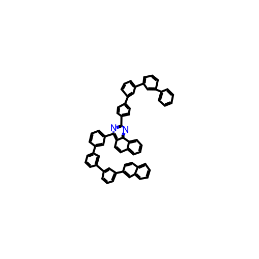 c1ccc(-c2cccc(-c3cccc(-c4ccc(-c5nc(-c6cccc(-c7cccc(-c8cccc(-c9ccc%10ccccc%10c9)c8)c7)c6)c6ccc7ccccc7c6n5)cc4)c3)c2)cc1